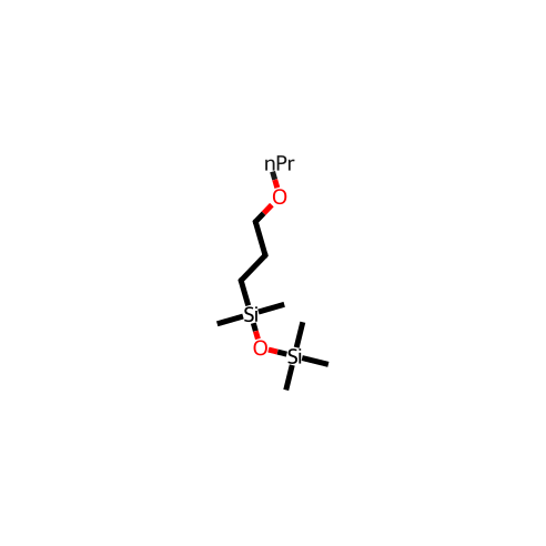 CCCOCCC[Si](C)(C)O[Si](C)(C)C